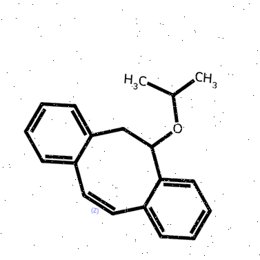 CC(C)OC1Cc2ccccc2/C=C\c2ccccc21